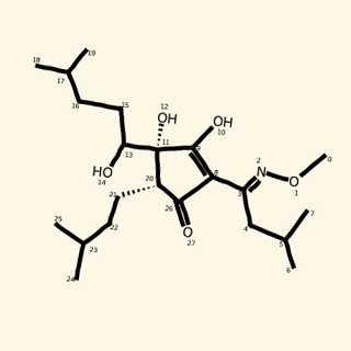 CON=C(CC(C)C)C1=C(O)[C@](O)(C(O)CCC(C)C)[C@@H](CCC(C)C)C1=O